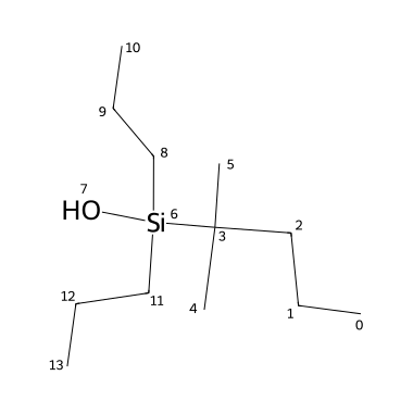 CCCC(C)(C)[Si](O)(CCC)CCC